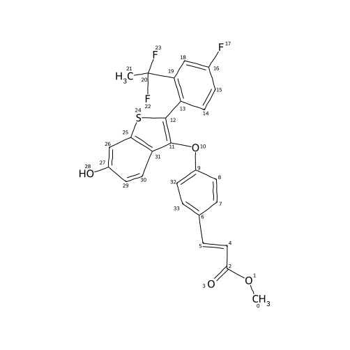 COC(=O)C=Cc1ccc(Oc2c(-c3ccc(F)cc3C(C)(F)F)sc3cc(O)ccc23)cc1